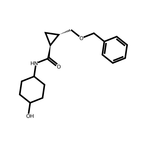 O=C(NC1CCC(O)CC1)[C@H]1C[C@@H]1COCc1ccccc1